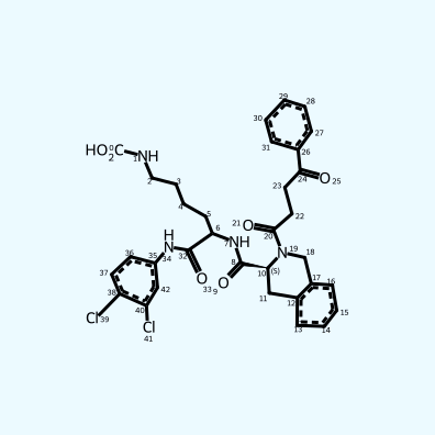 O=C(O)NCCCCC(NC(=O)[C@@H]1Cc2ccccc2CN1C(=O)CCC(=O)c1ccccc1)C(=O)Nc1ccc(Cl)c(Cl)c1